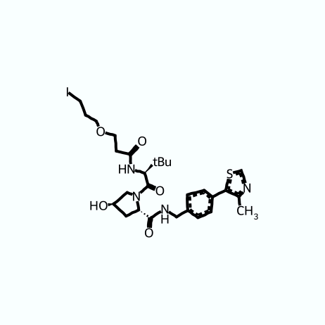 Cc1ncsc1-c1ccc(CNC(=O)[C@@H]2C[C@@H](O)CN2C(=O)[C@@H](NC(=O)CCOCCCI)C(C)(C)C)cc1